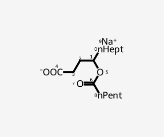 CCCCCCCC(CCC(=O)[O-])OC(=O)CCCCC.[Na+]